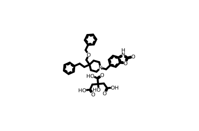 O=C(O)CC(O)(CC(=O)O)C(=O)O.O=c1[nH]c2ccc(CN3CCC(CCc4ccccc4)(COCc4ccccc4)CC3)cc2o1